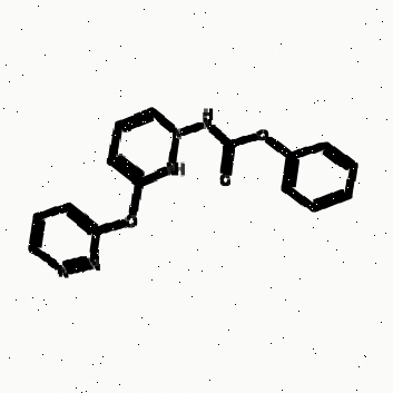 O=C(NN1C=CC=C(Oc2cccnn2)N1)Oc1ccccc1